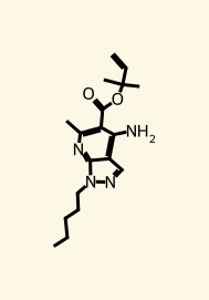 C=CC(C)(C)OC(=O)c1c(C)nc2c(cnn2CCCCC)c1N